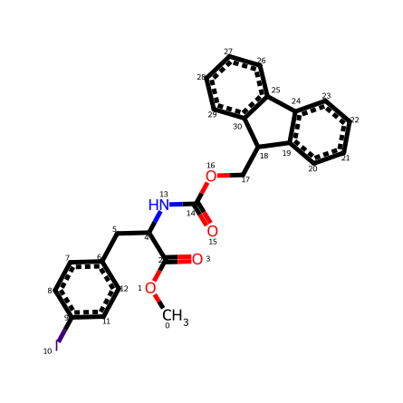 COC(=O)C(Cc1ccc(I)cc1)NC(=O)OCC1c2ccccc2-c2ccccc21